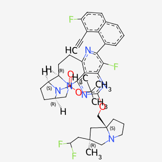 C#Cc1c(F)ccc2cccc(-c3nc4c5c(nc(OC[C@@]67CCCN6C[C@@](C)(CC(F)F)C7)nc5c3F)N3C[C@H]5CC[C@@H]([C@H]3CC4)N5C(=O)OC(C)(C)C)c12